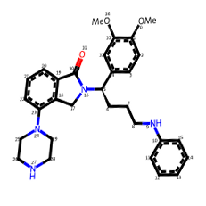 COc1ccc([C@@H](CCCNc2ccccc2)N2Cc3c(cccc3N3CCNCC3)C2=O)cc1OC